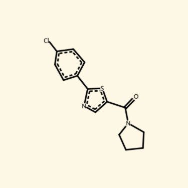 O=C(c1cnc(-c2ccc(Cl)cc2)s1)N1CCCC1